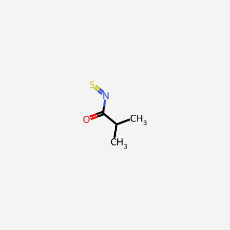 CC(C)C(=O)N=S